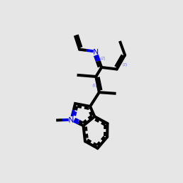 C=C/N=C(/C=C\C)C(\C)=C(/C)c1cn(C)c2ccccc12